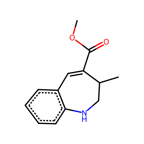 COC(=O)C1=Cc2ccccc2NCC1C